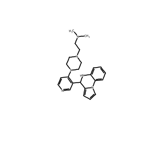 CN(C)CCN1CCN(c2ccncc2C2Nc3ccccc3-n3cccc32)CC1